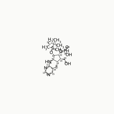 CC(C)(C)[Si](C)(C)OC1[C@H](Nc2ncncc2F)C[C@H](CO)[C@H]1O[PH](=O)O